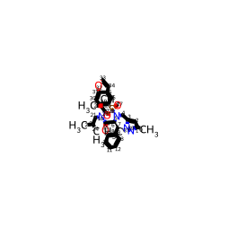 Cc1cc(CN([C@@H](Cc2ccccc2)C(=O)N(CC(C)C)CC(C)C)S(=O)(=O)c2ccc3occc3c2)n(C)n1